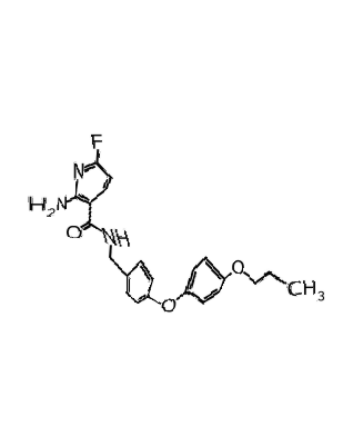 CCCOc1ccc(Oc2ccc(CNC(=O)c3ccc(F)nc3N)cc2)cc1